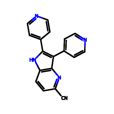 N#Cc1ccc2[nH]c(-c3ccncc3)c(-c3ccncc3)c2n1